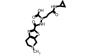 CN1CCc2nc(C(=O)NN(CCC(=O)NC3CC3)C(=O)O)sc2C1